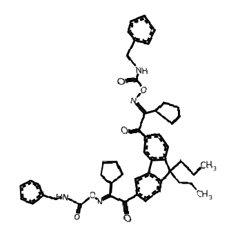 CCCC1(CCC)c2ccc(C(=O)/C(=N/OC(=O)NCc3ccccc3)C3CCCC3)cc2-c2cc(C(=O)/C(=N/OC(=O)NCc3ccccc3)C3CCCC3)ccc21